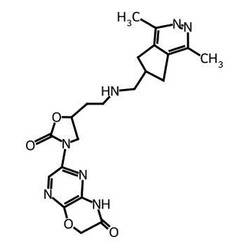 Cc1nnc(C)c2c1CC(CNCCC1CN(c3cnc4c(n3)NC(=O)CO4)C(=O)O1)C2